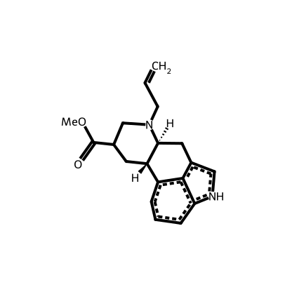 C=CCN1CC(C(=O)OC)C[C@H]2c3cccc4[nH]cc(c34)C[C@@H]21